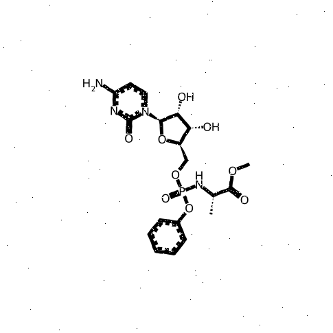 COC(=O)[C@H](C)NP(=O)(OC[C@H]1O[C@@H](n2ccc(N)nc2=O)[C@H](O)[C@@H]1O)Oc1ccccc1